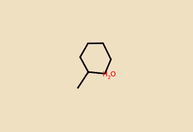 C[C]1CCCCC1.O